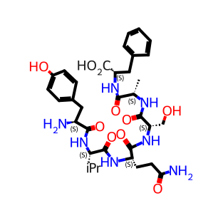 CC(C)[C@H](NC(=O)[C@@H](N)Cc1ccc(O)cc1)C(=O)N[C@@H](CCC(N)=O)C(=O)N[C@@H](CO)C(=O)N[C@@H](C)C(=O)N[C@@H](Cc1ccccc1)C(=O)O